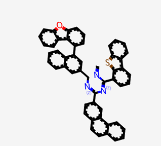 C=N/C(=N\C(=N/Cc1cc(-c2cccc3oc4ccccc4c23)c2ccccc2c1)c1ccc2ccc3ccccc3c2c1)c1cccc2c1sc1ccccc12